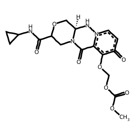 COC(=O)OCOc1c2n(ccc1=O)N[C@@H]1COC(C(=O)NC3CC3)CN1C2=O